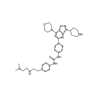 CN(C)CCNCCc1ccc(NC(=O)Nc2ccc(-c3nc(N4CCOCC4)c4cnn(C5CCNCC5)c4n3)cc2)cc1